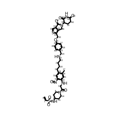 C=CS(=O)(=O)NC1CCN(C(=O)CNc2cc(C)c(CCCCNCc3ccc(OCc4scc5c4CN(C4CCC(=O)NC4=O)C5=O)cc3)cc2N=O)CC1